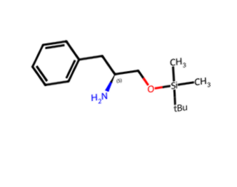 CC(C)(C)[Si](C)(C)OC[C@@H](N)Cc1ccccc1